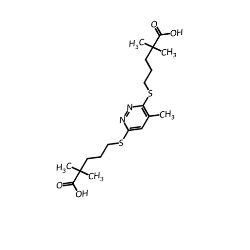 Cc1cc(SCCCC(C)(C)C(=O)O)nnc1SCCCC(C)(C)C(=O)O